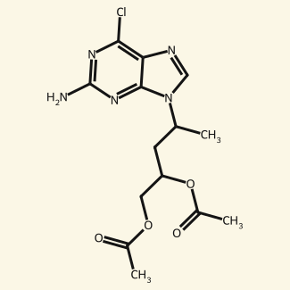 CC(=O)OCC(CC(C)n1cnc2c(Cl)nc(N)nc21)OC(C)=O